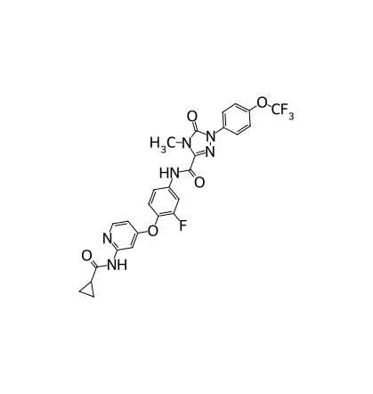 Cn1c(C(=O)Nc2ccc(Oc3ccnc(NC(=O)C4CC4)c3)c(F)c2)nn(-c2ccc(OC(F)(F)F)cc2)c1=O